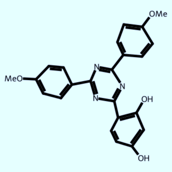 COc1ccc(-c2nc(-c3ccc(OC)cc3)nc(-c3ccc(O)cc3O)n2)cc1